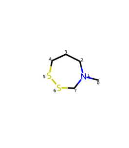 CN1CCCSSC1